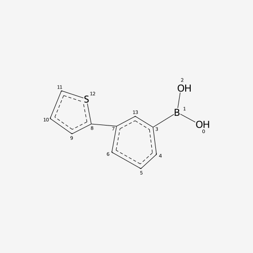 OB(O)c1cccc(-c2cccs2)c1